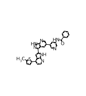 Cc1ccc(-c2ccnc3[nH]c(-c4n[nH]c5ncc(-c6cncc(NC(=O)c7ccccc7)c6)cc45)cc23)s1